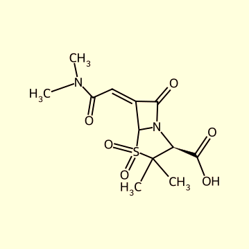 CN(C)C(=O)/C=C1/C(=O)N2C1S(=O)(=O)C(C)(C)[C@@H]2C(=O)O